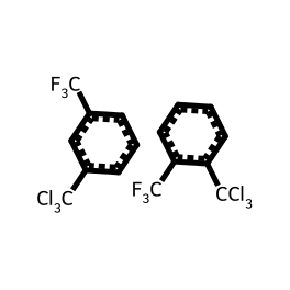 FC(F)(F)c1cccc(C(Cl)(Cl)Cl)c1.FC(F)(F)c1ccccc1C(Cl)(Cl)Cl